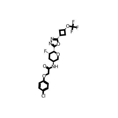 O=C(COc1ccc(Cl)cc1)N[C@@H]1CO[C@@H](c2nnc([C@H]3C[C@@H](OC(F)(F)F)C3)o2)[C@@H](F)C1